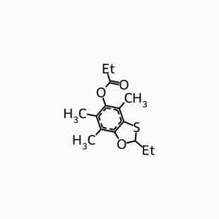 CCC(=O)Oc1c(C)c(C)c2c(c1C)SC(CC)O2